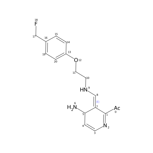 CC(=O)C1=NC=CC(N)/C1=C\NCCOc1ccc(CF)cc1